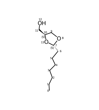 CCCCCCC[C@H]1OC[C@H](CO)O1